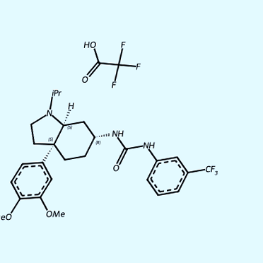 COc1ccc([C@@]23CC[C@@H](NC(=O)Nc4cccc(C(F)(F)F)c4)C[C@@H]2N(C(C)C)CC3)cc1OC.O=C(O)C(F)(F)F